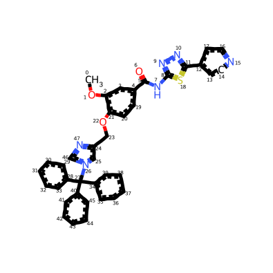 COc1cc(C(=O)Nc2nnc(-c3ccncc3)s2)ccc1OCc1cn(C(c2ccccc2)(c2ccccc2)c2ccccc2)cn1